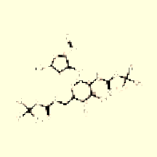 CC(C)(C)OC(=O)NCC1O[C@H](OC2C[C@H](O)O[C@@H]2C=O)C(NC(=O)OC(C)(C)C)C(O)[C@@H]1O